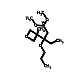 CCCOC(CC)(C[SiH](OC)OC)C1(C)COC1